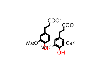 COc1cc(CCC(=O)[O-])ccc1O.COc1cc(CCC(=O)[O-])ccc1O.[Ca+2]